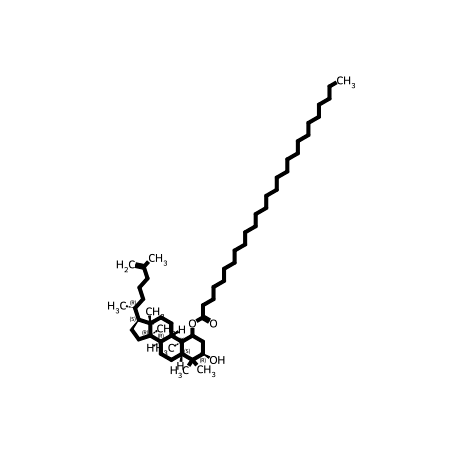 C=C(C)CCC[C@@H](C)[C@@H]1CC[C@]2(C)[C@@H]3CC[C@H]4C(C)(C)[C@H](O)CC(OC(=O)CCCCCCCCCCCCCCCCCCCCCCCCCC)[C@]4(C)[C@H]3CC[C@@]12C